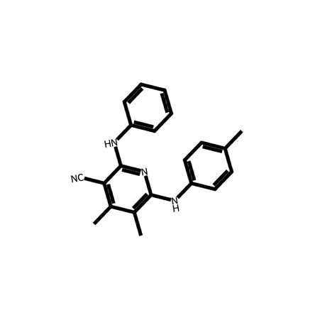 Cc1ccc(Nc2nc(Nc3ccccc3)c(C#N)c(C)c2C)cc1